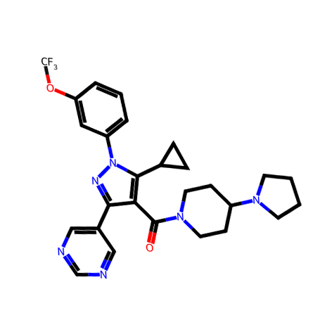 O=C(c1c(-c2cncnc2)nn(-c2cccc(OC(F)(F)F)c2)c1C1CC1)N1CCC(N2CCCC2)CC1